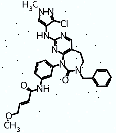 COC/C=C/C(=O)Nc1cccc(N2C(=O)N(Cc3ccccc3)CCc3cnc(Nc4cn(C)nc4Cl)nc32)c1